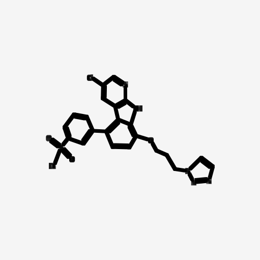 CCS(=O)(=O)c1cccc(-c2ccc(OCCCn3ccnn3)c3[nH]c4ncc(Cl)cc4c23)c1